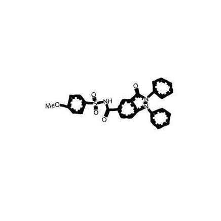 COc1ccc(S(=O)(=O)NC(=O)c2ccc3c(c2)c(=O)n(-c2ccccc2)n3-c2ccccc2)cc1